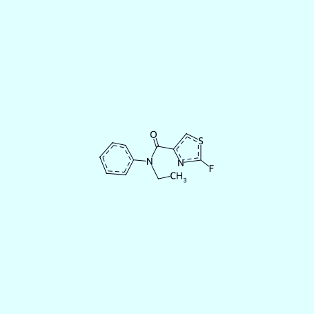 CCN(C(=O)c1csc(F)n1)c1ccccc1